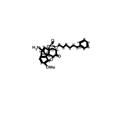 COc1ccc2c3c1OC1C(=O)CCC4(OS(=O)OCCCCCCc5ccccc5)C(C2)C(N)CCC314